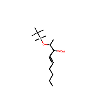 CCCCC=CC(O)C(C)O[Si](C)(C)C(C)(C)C